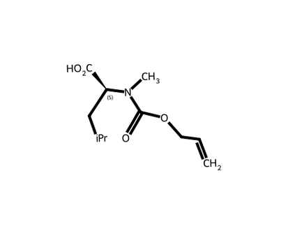 C=CCOC(=O)N(C)[C@@H](CC(C)C)C(=O)O